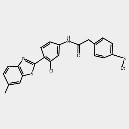 CCSc1ccc(CC(=O)Nc2ccc(-c3nc4ccc(C)cc4s3)c(Cl)c2)cc1